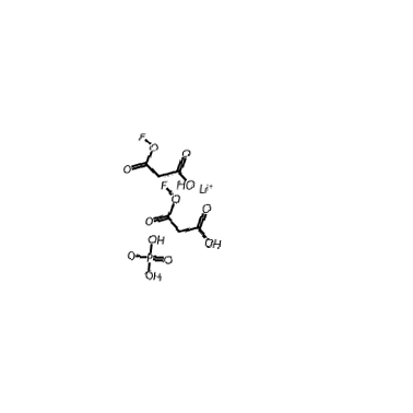 O=C(O)CC(=O)OF.O=C(O)CC(=O)OF.O=P([O-])(O)O.[Li+]